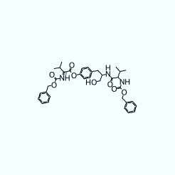 CC(C)C(NC(=O)OCc1ccccc1)C(=O)NC(CO)Cc1ccc(OC(=O)[C@@H](NC(=O)OCc2ccccc2)C(C)C)cc1